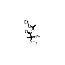 CCCC(C)(N)C(=O)OC(C)OCC